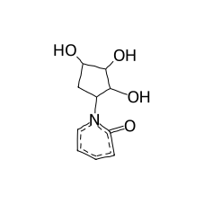 O=c1ccccn1C1CC(O)C(O)C1O